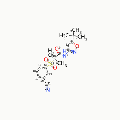 CC(C)(C)c1cc(NC(=O)C(C)(C)S(=O)(=O)c2cccc(C#N)c2)no1